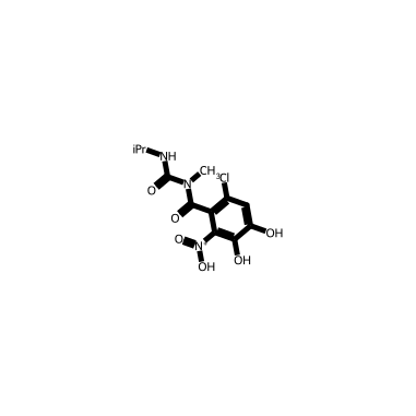 CC(C)NC(=O)N(C)C(=O)c1c(Cl)cc(O)c(O)c1[N+](=O)O